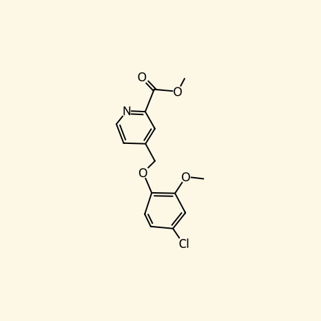 COC(=O)c1cc(COc2ccc(Cl)cc2OC)ccn1